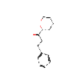 O=C(CCc1ccccc1)C1CCCCO1